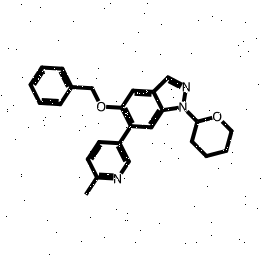 Cc1ccc(-c2cc3c(cnn3C3CCCCO3)cc2OCc2ccccc2)cn1